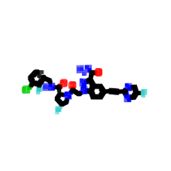 NC(=O)c1nn(CC(=O)N2C[C@H](F)C[C@H]2C(=O)NCc2cccc(Cl)c2F)c2ccc(C#Cc3ncc(F)cn3)cc12